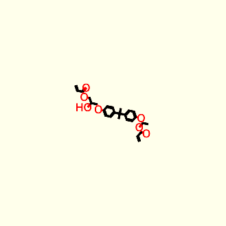 C=CC(=O)OCC(O)COc1ccc(C(C)(C)c2ccc(OC(C)OC(=O)C=C)cc2)cc1